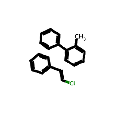 Cc1ccccc1-c1ccccc1.ClC=Cc1ccccc1